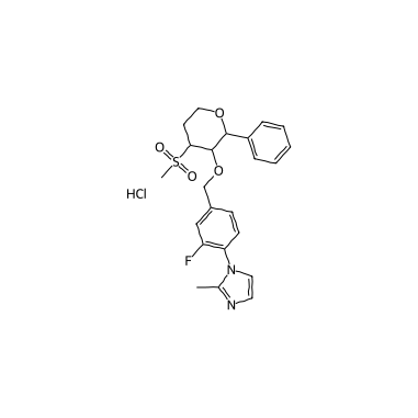 Cc1nccn1-c1ccc(COC2C(c3ccccc3)OCCC2S(C)(=O)=O)cc1F.Cl